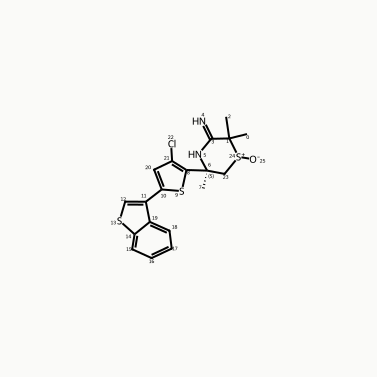 CC1(C)C(=N)N[C@](C)(c2sc(-c3csc4ccccc34)cc2Cl)C[S+]1[O-]